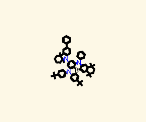 CC(C)(C)c1ccc(N2c3ccc(C(C)(C)C)cc3B3c4cc5c(cc4N(c4ccccc4)c4cc(N6c7ccc(-c8ccccc8)cc7C7(C)CCCCC67C)cc2c43)C(C)(C)CCC5(C)C)cc1